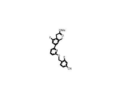 COC(=O)Cc1c(F)cc(-c2cccc(OCc3ccc(C#N)cc3F)n2)cc1F